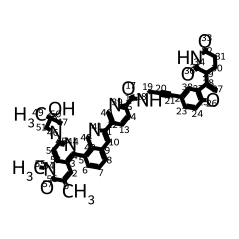 Cc1cc2c(-c3cccc4cc(-c5ccc(C(=O)NCC#Cc6ccc7occ(C8CCC(=O)NC8=O)c7c6)nc5)ncc34)nc(N3CC(C)(O)C3)cc2n(C)c1=O